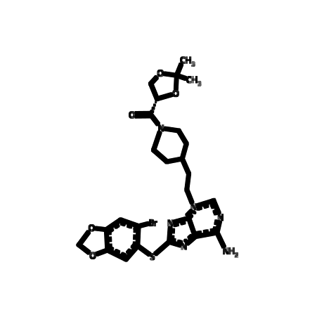 CC1(C)OC[C@@H](C(=O)N2CCC(CCn3cnc(N)c4nc(Sc5cc6c(cc5Br)OCO6)nc3-4)CC2)O1